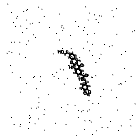 CC(c1ccc(C(=O)O)cc1)n1c(=O)[nH]c2ccc(C(=O)NCc3ccc4c(c3)OCO4)cc2c1=O